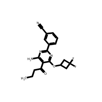 CCCC(=O)c1c(N)nc(-c2cccc(C#N)c2)nc1OC1CC(F)(F)C1